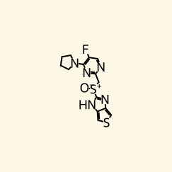 [O-][S+](Cc1ncc(F)c(N2CCCC2)n1)c1nc2cscc2[nH]1